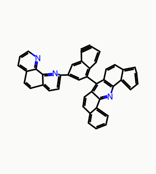 c1ccc2c(-c3c4ccc5ccccc5c4nc4c3ccc3ccccc34)cc(-c3ccc4ccc5cccnc5c4n3)cc2c#1